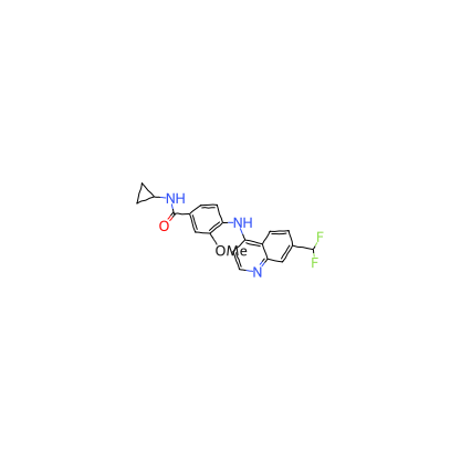 COc1cc(C(=O)NC2CC2)ccc1Nc1ccnc2cc(C(F)F)ccc12